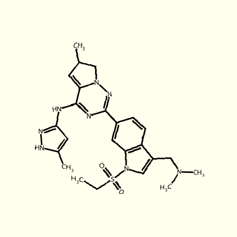 CCS(=O)(=O)n1cc(CN(C)C)c2ccc(C3=NN4CC(C)C=C4C(Nc4cc(C)[nH]n4)=N3)cc21